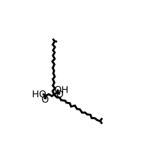 CC(C)CCCCCCCCCCCCCCCCCC(CCCCCCCCCCCCCCCCCC(C)C)(CCC(=O)O)C(=O)O